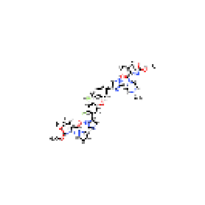 COC(=O)N[C@H](C(=O)N1CCN(C)CC1c1nc(-c2ccc3c(c2)Oc2cc(-c4cnc([C@@H]5CCCN5C(=O)[C@@H](NC(=O)OC)C(C)C)[nH]4)c(F)cc2C3(C)F)c[nH]1)C(C)C